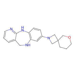 c1cnc2c(c1)CNc1cc(N3CC4(CCCOC4)C3)ccc1N2